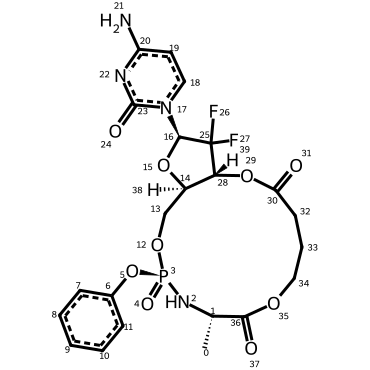 C[C@@H]1N[P@@](=O)(Oc2ccccc2)OC[C@H]2O[C@@H](n3ccc(N)nc3=O)C(F)(F)[C@@H]2OC(=O)CCCOC1=O